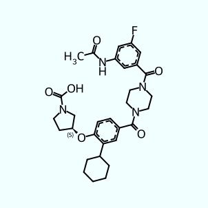 CC(=O)Nc1cc(F)cc(C(=O)N2CCN(C(=O)c3ccc(O[C@H]4CCN(C(=O)O)C4)c(C4CCCCC4)c3)CC2)c1